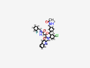 CC(=O)NCc1cccc(C2OC(CC(=O)NCc3ccccc3F)C(=O)N(Cc3ccc4ccccc4n3)c3ccc(Cl)cc32)c1